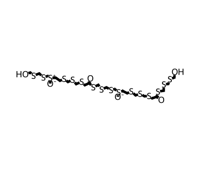 O=C(CSCSCSCC[S+]([O-])CSCSCSC(=O)CSCSCSCC[S+]([O-])CSCSCO)SCSCSCO